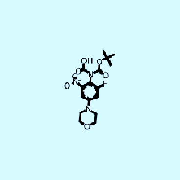 CC(C)(C)OC(=O)N(C(=O)O)c1c(F)cc(N2CCOCC2)cc1[N+](=O)[O-]